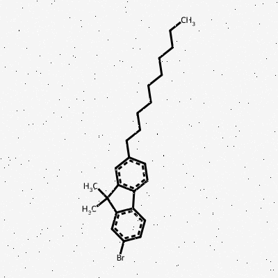 CCCCCCCCCCc1ccc2c(c1)C(C)(C)c1cc(Br)ccc1-2